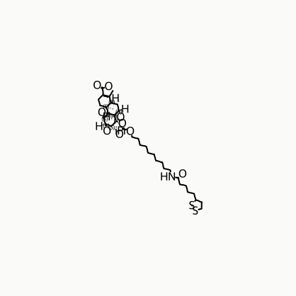 CC(C)[C@]12O[C@H]1[C@@H]1O[C@]13[C@]1(O[C@H]1C[C@H]1C4=C(CC[C@@]13C)C(=O)OC4)[C@@H]2OC(=O)OCCCCCCCCCCNC(=O)CCCCC1CCSS1